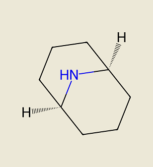 C1C[C@H]2CCC[C@@H](C1)N2